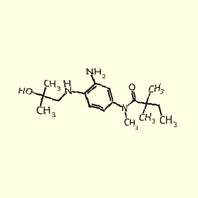 CCC(C)(C)C(=O)N(C)c1ccc(NCC(C)(C)O)c(N)c1